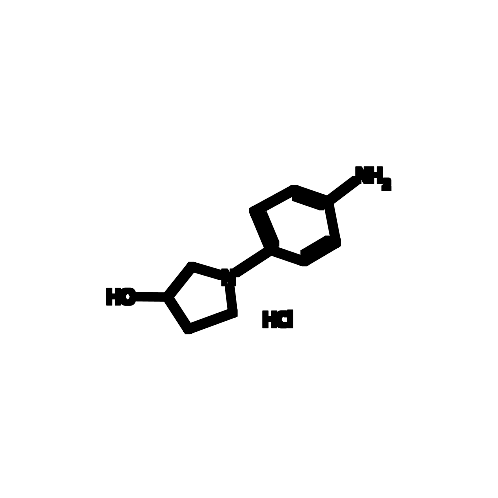 Cl.Nc1ccc(N2CCC(O)C2)cc1